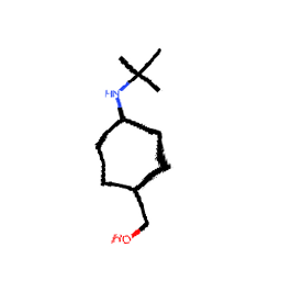 CC(C)(C)NC1CCC(CO)CC1